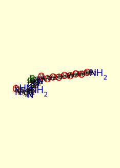 COc1ccc(-c2ccc3ncc(N)c(Nc4ccc(N5CCN(C(=O)CCOCCOCCOCCOCCOCCOCCOCCOCCN)CC5)c(C(F)(F)F)c4)c3c2)cn1